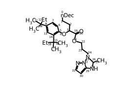 CCCCCCCCCCCCC(Oc1ccc(C(C)(C)CC)cc1C(C)(C)CC)C(=O)OCCCN1C(C)Nc2ccnn21